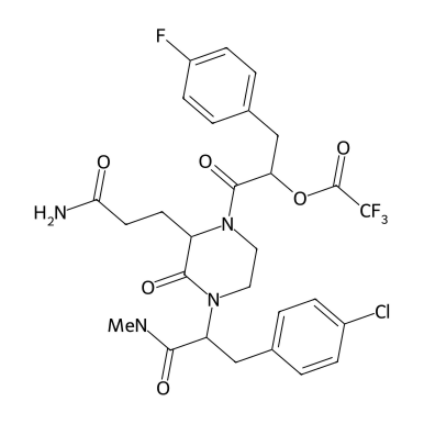 CNC(=O)C(Cc1ccc(Cl)cc1)N1CCN(C(=O)C(Cc2ccc(F)cc2)OC(=O)C(F)(F)F)C(CCC(N)=O)C1=O